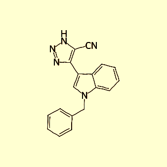 N#Cc1[nH]nnc1-c1cn(Cc2ccccc2)c2ccccc12